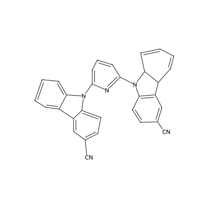 N#Cc1ccc2c(c1)C1C=CC=CC1N2c1cccc(-n2c3ccccc3c3cc(C#N)ccc32)n1